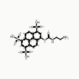 NCCNC(=O)Oc1cc(S(=O)(=O)O)c2ccc3c(S(=O)(=O)O)cc(S(=O)(=O)O)c4ccc1c2c43